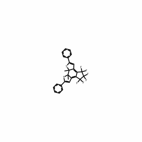 CC12SC(c3ccccc3)=CC1=C1C(=C3C=C(c4ccccc4)SC32C)C(F)(F)C(F)(F)C1(F)F